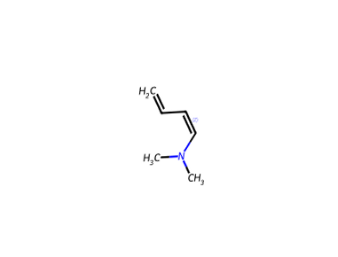 C=C/C=C\N(C)C